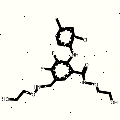 O=C(NOCCO)c1cc(CNOCCO)c(F)c(F)c1Nc1ccc(I)cc1Cl